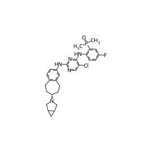 CP(C)(=O)c1cc(F)ccc1Nc1nc(Nc2ccc3c(c2)CC[C@@H](N2CC4CC4C2)CC3)ncc1Cl